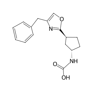 O=C(O)N[C@H]1CC[C@H](c2nc(Cc3ccccc3)co2)C1